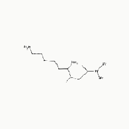 CC(CC(C)N(C(C)C)C(C)C)C(N)CCCCCN